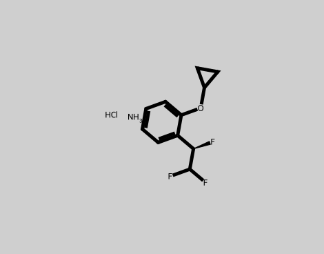 Cl.FC(F)[C@H](F)c1ccccc1OC1CC1.N